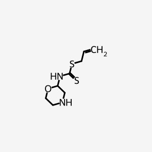 C=CCSC(=S)NC1CNCCO1